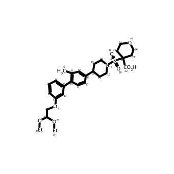 CCOC(COc1cccc(-c2ccc(C3CCN(S(=O)(=O)C4(C(=O)O)CCOCC4)CC3)cc2C)c1)OCC